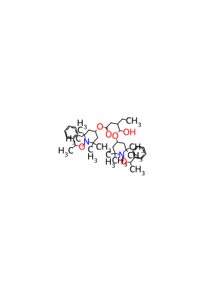 CCC(CC(=O)OC1CC(C)(C)N(OC(C)c2ccccc2)C(C)(C)C1)C(O)OC1CC(C)(C)N(OC(C)c2ccccc2)C(C)(C)C1